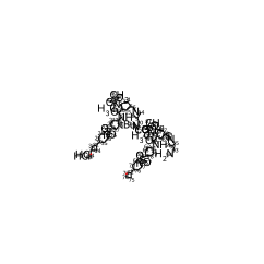 CN(c1ccc(CN2CC(CN(C(=O)O)C(C)(C)C)C2)cc1C(=O)Nc1ccc(S(=O)(=O)N2CCC(C3CCC3)CC2)cc1)S(C)(=O)=O.CN(c1ccc(CN2CC(CN)C2)cc1C(=O)Nc1ccc(S(=O)(=O)N2CCC(C3CCC3)CC2)cc1)S(C)(=O)=O.Cl.Cl